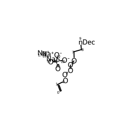 C=COOOOOCCCCCCCCCCCC.O=P([O-])([O-])[O-].[Na+].[Na+].[Na+]